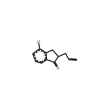 C=CCC1Cc2c(Cl)cccc2C1=O